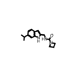 CC(C)c1ccc2cc(CNC(=O)N3CCC3)[nH]c2c1